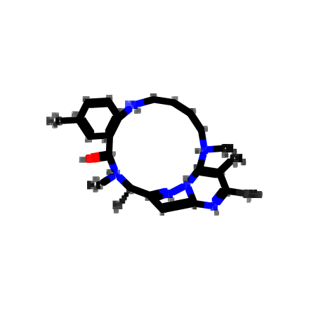 CC[C@H]1c2cc3nc(OC)c(C)c(n3n2)N(C)CCCCNc2ccc(C)cc2C(=O)N1C